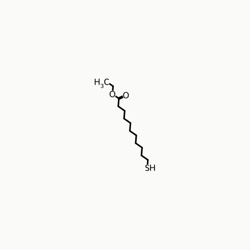 CCOC(=O)CCCCCCCCCCS